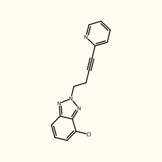 Clc1cccc2nn(CCC#Cc3ccccn3)nc12